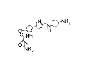 Nc1nc(C(=O)Nc2cc(-c3ccc(CNC4CCC(N)CC4)nc3)ccc2Cl)co1